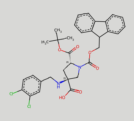 CC(C)(C)OC(=O)[C@H]1C[C@@](NCc2ccc(Cl)c(Cl)c2)(C(=O)O)CN1C(=O)OCC1c2ccccc2-c2ccccc21